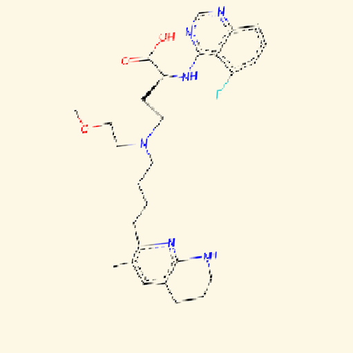 COCCN(CCCCc1nc2c(cc1C)CCCN2)CC[C@H](Nc1ncnc2cccc(F)c12)C(=O)O